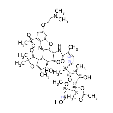 CO[C@@H](/C=C/O)[C@@H](C)[C@@H](OC(C)=O)[C@@H]1O[C@@H]([C@@H](C)/C=C/C=C(/C)C(=O)Nc2c3oc4cc(OCCN(C)C)cc(S(C)(=O)=O)c4nc-3c3c4c(c(C)c(O)c3c2=O)OC(C)(C)C4=O)[C@@H](C)[C@H]1O